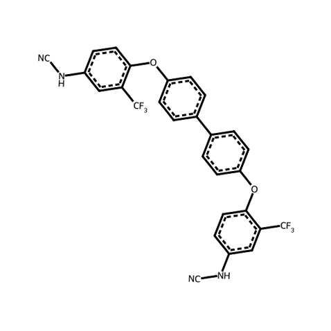 N#CNc1ccc(Oc2ccc(-c3ccc(Oc4ccc(NC#N)cc4C(F)(F)F)cc3)cc2)c(C(F)(F)F)c1